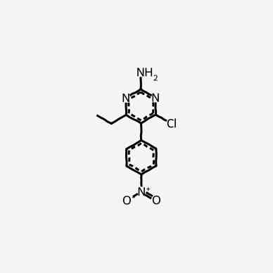 CCc1nc(N)nc(Cl)c1-c1ccc([N+](=O)[O-])cc1